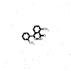 Cc1ccccc1-c1n[nH]c(=O)c2c(C)cccc12